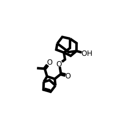 CC(=O)C1C2C=CC(C2)C1C(=O)OCC12CC3CC(CC(O)(C3)C1)C2